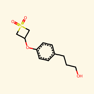 O=S1(=O)CC(Oc2ccc(CCCO)cc2)C1